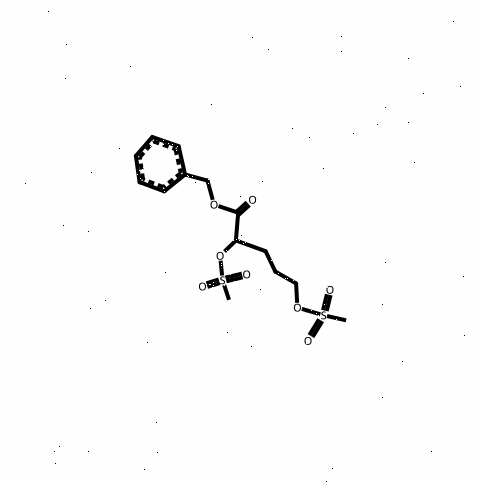 CS(=O)(=O)OCCCC(OS(C)(=O)=O)C(=O)OCc1ccccc1